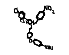 CC(C)(C)c1ccc(Oc2ccc(C=Cc3nc(-c4ccc(Cl)cc4Cl)cn3Cc3ccc([N+](=O)[O-])cc3)cc2)cc1